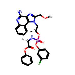 CCOCc1nc2c(N)nc3ccccc3c2n1C[C@@H](C)OP(=O)(N[C@@H](C)C(=O)Oc1ccccc1)Oc1cccc(Cl)c1